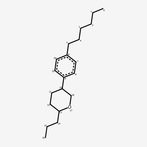 CCCCCCc1ccc(C2CCC(CCC)OC2)cc1